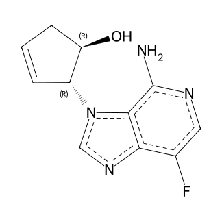 Nc1ncc(F)c2ncn([C@@H]3C=CC[C@H]3O)c12